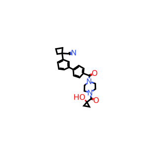 N#CC1(c2cccc(-c3ccc(C(=O)N4CCN(C(=O)C5(O)CC5)CC4)cc3)c2)CCC1